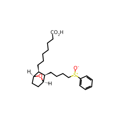 O=C(O)CCCCCC[C@H]1[C@@H](CCCC[S+]([O-])c2ccccc2)[C@H]2CC[C@@H]1O2